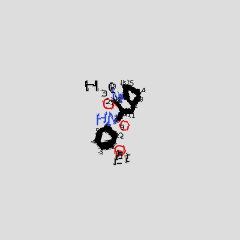 CCOc1cccc(NC(=O)c2cc3ccccc3n(C)c2=O)c1